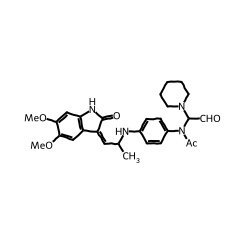 COc1cc2c(cc1OC)C(=CC(C)Nc1ccc(N(C(C)=O)C(C=O)N3CCCCC3)cc1)C(=O)N2